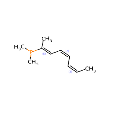 C\C=C/C=C\C=C(/C)P(C)C